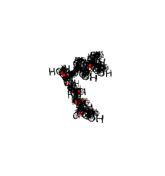 COc1ccc(C(=O)Nc2ccccc2C(=O)O)c(NC(=O)c2ccccc2F)c1.COc1ccc(NC(=O)c2ccccc2F)c(C(=O)Nc2ccccc2C(=O)O)c1.O=C(Nc1cc(Cl)ccc1C(=O)Nc1ccccc1C(=O)O)c1ccccc1F.O=C(Nc1cc(F)c(F)cc1C(=O)Nc1ccccc1C(=O)O)c1ccccc1F.O=C(Nc1ccc(Cl)cc1C(=O)Nc1ccccc1C(=O)O)c1ccccc1F